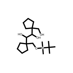 CC(C)(C)[Si](C)(C)OCC1(C(O)C(O)C2(CO)CCCC2)CCCC1